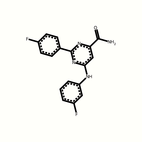 NC(=O)c1cc(Nc2cccc(F)c2)nc(-c2ccc(F)cc2)n1